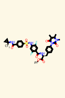 Cc1c(C)n(C)c(=O)n(-c2ccc(C[C@H](NC(=O)c3cc(F)c(NS(=O)(=O)c4ccc(C(=O)NC5(C(F)(F)F)CC5)cc4)cc3F)C(=O)OC(C)C)cc2)c1=O